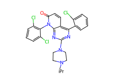 CC(C)N1CCN(c2nc(-c3ccccc3Cl)c3ccc(=O)n(-c4c(Cl)cccc4Cl)c3n2)CC1